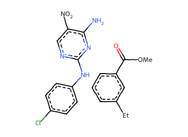 CCc1cccc(C(=O)OC)c1.Nc1nc(Nc2ccc(Cl)cc2)ncc1[N+](=O)[O-]